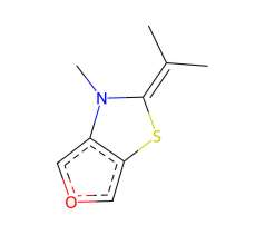 CC(C)=C1Sc2cocc2N1C